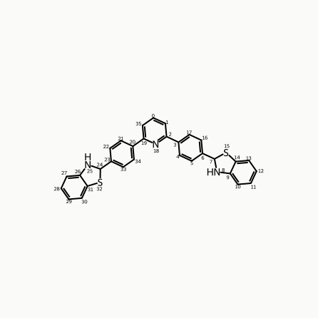 c1cc(-c2ccc(C3Nc4ccccc4S3)cc2)nc(-c2ccc(C3Nc4ccccc4S3)cc2)c1